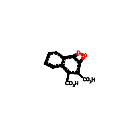 O=C(O)c1c(C(=O)O)c2ooc2c2ccccc12